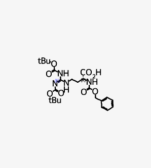 CC(C)(C)OC(=O)/N=C(\NCC[C@@H](NC(=O)OCc1ccccc1)C(=O)O)NC(=O)OC(C)(C)C